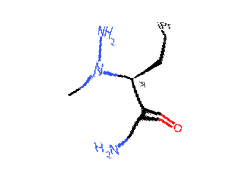 CC(C)C[C@@H](C(N)=O)N(C)N